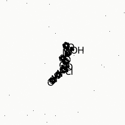 O=C(O)c1ccc(-c2cccc3c2OCN(C(=O)c2c(Cl)cc(N4CCC(N5CCOCC5)CC4)cc2Cl)C3)nc1N1CCCCC1